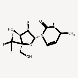 CC1C=CN([C@@H]2O[C@@](CO)(C(F)(F)F)[C@@H](O)[C@H]2F)C(=O)N1